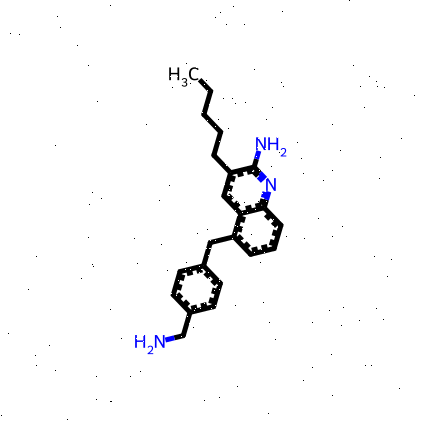 CCCCCc1cc2c(Cc3ccc(CN)cc3)cccc2nc1N